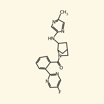 Cc1cnc(NC2CC3CC2N(C(=O)c2ccccc2-c2ncc(F)cn2)C3)cn1